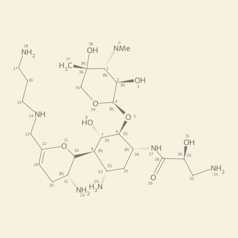 CN[C@@H]1[C@@H](O)[C@@H](O[C@@H]2[C@@H](O)[C@H](C3OC(CNCCCN)=CC[C@H]3N)[C@@H](N)C[C@H]2NC(=O)[C@@H](O)CN)OC[C@]1(C)O